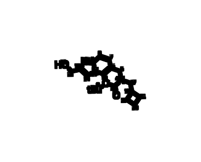 CC(C)(C)OC(=O)N(Cc1ccc2nc(CO)cn2c1)CC1CCC1